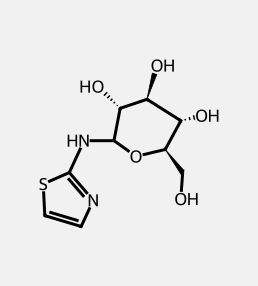 OC[C@H]1OC(Nc2nccs2)[C@H](O)[C@@H](O)[C@@H]1O